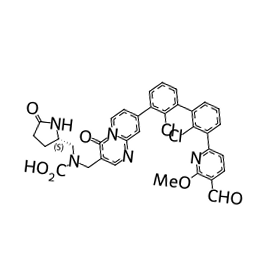 COc1nc(-c2cccc(-c3cccc(-c4ccn5c(=O)c(CN(C[C@@H]6CCC(=O)N6)C(=O)O)cnc5c4)c3Cl)c2Cl)ccc1C=O